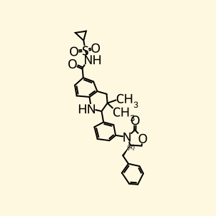 CC1(C)Cc2cc(C(=O)NS(=O)(=O)C3CC3)ccc2NC1c1cccc(N2C(=O)OC[C@H]2Cc2ccccc2)c1